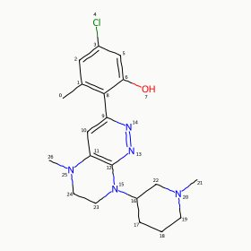 Cc1cc(Cl)cc(O)c1-c1cc2c(nn1)N(C1CCCN(C)C1)CCN2C